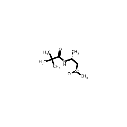 C[C@H](C[S+](C)[O-])NC(=O)C(C)(C)C